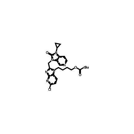 CC(C)(C)C(=O)OCCCCn1c(Cn2c(=O)n(C3CC3)c3ccncc32)nc2nc(Cl)ccc21